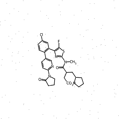 CN(C(=O)C(CC(=O)O)CC1CCCC1)c1nc(-c2cc(Cl)ccc2-c2ccc(N3CCCC3=O)nc2)c(F)s1